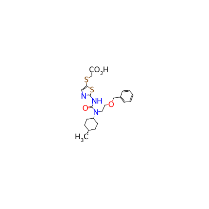 C[C@H]1CC[C@H](N(CCOCc2ccccc2)C(=O)Nc2ncc(SCC(=O)O)s2)CC1